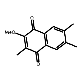 COC1=C(C)C(=O)c2cc(C)c(C)cc2C1=O